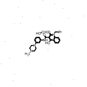 CC(C)Cn1c(=O)c(C(=O)Nc2cccc(N3CCN(C)CC3)c2)c(O)c2ccccc21.O=CO